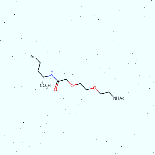 CC(=O)CC[C@H](NC(=O)COCCOCCNC(C)=O)C(=O)O